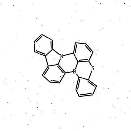 c1ccc2c(c1)Sc1cccc3c1B2c1cccc2c4ccccc4n-3c12